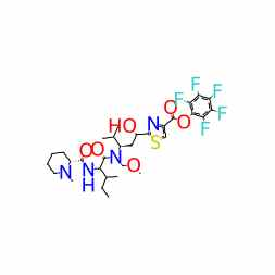 CCC(C)C(NC(=O)[C@H]1CCCCN1C)C(=O)N(COC)[C@H](C[C@@H](O)c1nc(C(=O)Oc2c(F)c(F)c(F)c(F)c2F)cs1)C(C)C